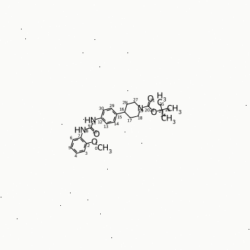 COc1ccccc1NC(=O)Nc1ccc(C2CCN(C(=O)OC(C)(C)C)CC2)cc1